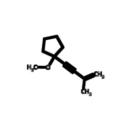 C=C(C)C#CC1(OC)CCCC1